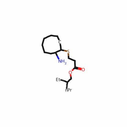 CCCC(CC)COC(=O)CCSC1CCCCCCCC1N